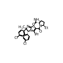 CC[C@@H]1CC[C@@H](C(N)=O)N1C(=O)C1=C(C(C)C)N2C(=N[C@@](C)(c3ccc(Cl)cc3)[C@H]2c2ccc(Cl)cc2)S1